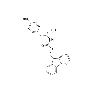 CC(C)(C)c1ccc(CC(NC(=O)OCC2c3ccccc3-c3ccccc32)C(=O)O)cc1